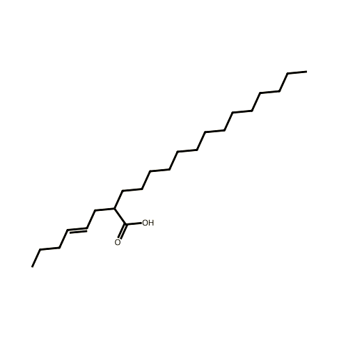 CCCC=CCC(CCCCCCCCCCCCCC)C(=O)O